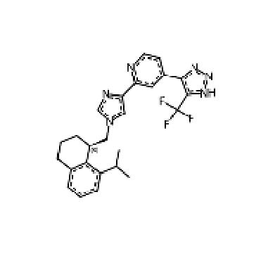 CC(C)c1cccc2c1[C@H](Cn1cnc(-c3cc(-c4nn[nH]c4C(F)(F)F)ccn3)c1)CCC2